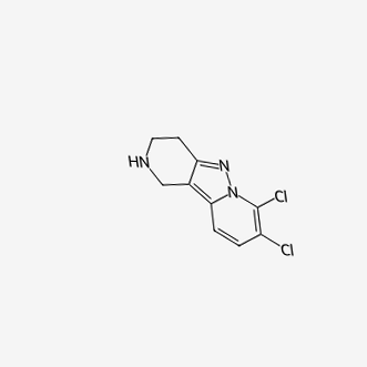 Clc1ccc2c3c(nn2c1Cl)CCNC3